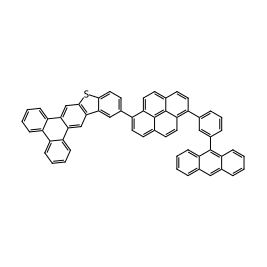 c1cc(-c2c3ccccc3cc3ccccc23)cc(-c2ccc3ccc4c(-c5ccc6sc7cc8c9ccccc9c9ccccc9c8cc7c6c5)ccc5ccc2c3c54)c1